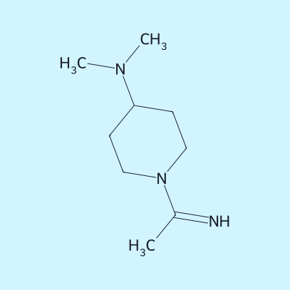 CC(=N)N1CCC(N(C)C)CC1